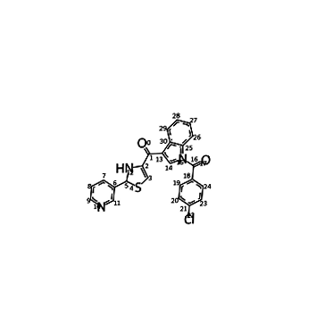 O=C(C1=CSC(c2cccnc2)N1)c1cn(C(=O)c2ccc(Cl)cc2)c2ccccc12